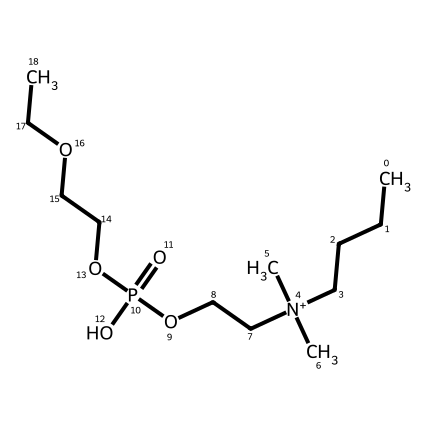 CCCC[N+](C)(C)CCOP(=O)(O)OCCOCC